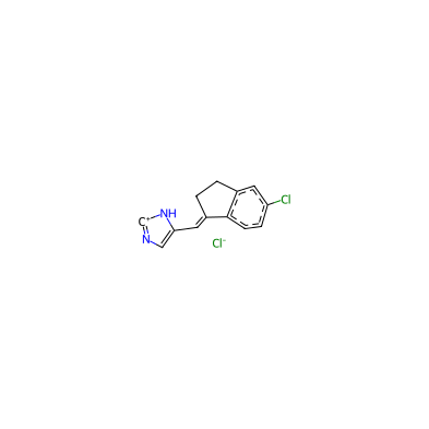 Clc1ccc2c(c1)CCC2=CC1=CN=[C+]N1.[Cl-]